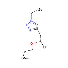 CCC(Cc1cn(CC(C)(C)C)nn1)OCCOC